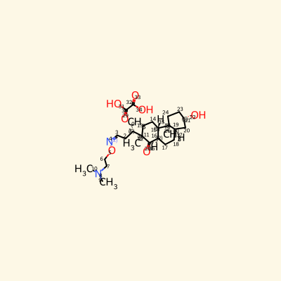 C[C@@H](C/C=N\OCCN(C)C)[C@@]1(C)CC[C@H]2[C@@H](CC[C@@H]3C[C@@H](O)CC[C@@]32C)C1=O.O=C(O)C(=O)O